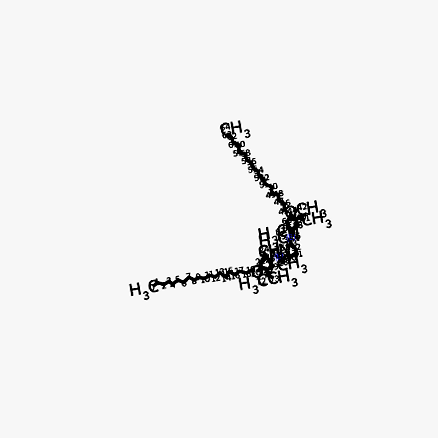 CCCCCCCCCCCCCCCCCCCCOc1cc(C)c(/N=C(\C)c2cccc(/C(C)=N/c3cc(C(C)C)c(OCCCCCCCCCCCCCCCCCCCC)cc3C)n2)cc1C(C)C